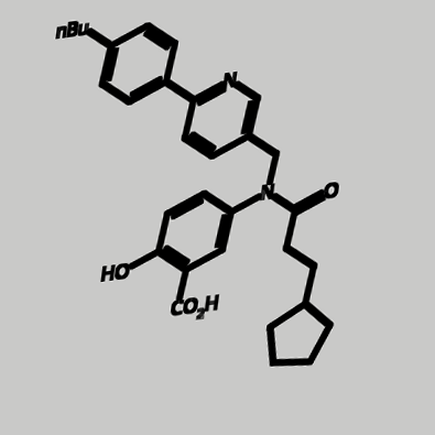 CCCCc1ccc(-c2ccc(CN(C(=O)CCC3CCCC3)c3ccc(O)c(C(=O)O)c3)cn2)cc1